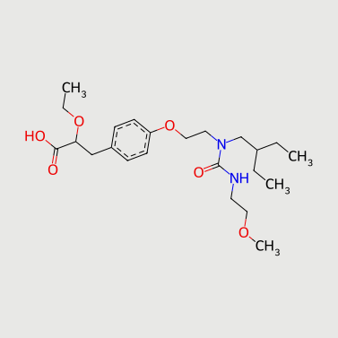 CCOC(Cc1ccc(OCCN(CC(CC)CC)C(=O)NCCOC)cc1)C(=O)O